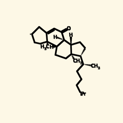 CC(C)CCC[C@@H](C)[C@H]1CC[C@H]2[C@@H]3C(=O)C=C4C[CH]CC[C@]4(C)[C@H]3CC[C@]12C